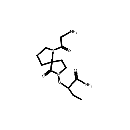 CCC(ON1CCC2(CCCN2C(=O)CN)C1=O)C(N)=O